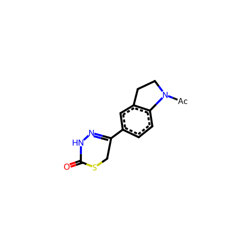 CC(=O)N1CCc2cc(C3=NNC(=O)SC3)ccc21